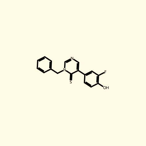 Oc1ccc(-c2cncn(Cc3ccccc3)c2=S)cc1F